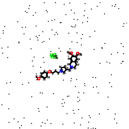 COc1ccc(OCCCN2CCC(CN3CCc4cc(OC)c(OC)cc4C3)C2)cc1.Cl.Cl